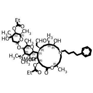 CCC(=O)O[C@@H]1CC(=O)O[C@H](C)CCN(CCCCc2ccccc2)C[C@H](O)[C@H](C)C[C@H](CC=O)[C@H]([C@@H]2O[C@H](C)[C@@H](O[C@@H]3C[C@@](C)(O)[C@@H](OC(=O)CC)[C@H](C)O3)[C@H](N(C)C)[C@H]2O)[C@@H]1OC